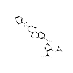 NC(=O)c1cnc(Nc2ccc3c(c2)OCC2CN(S(=O)(=O)c4ccccc4)CC(=O)N32)nc1NC1CC1